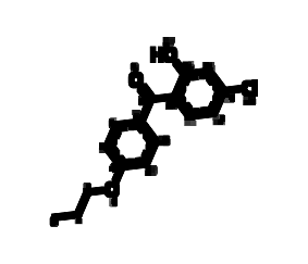 CCCOc1ccc(C(=O)c2ccc(Cl)cc2O)cc1